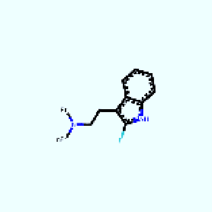 CCCN(CC)CCc1c(F)[nH]c2ccccc12